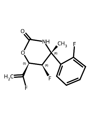 C=C(F)[C@H]1OC(=O)N[C@](C)(c2ccccc2F)[C@H]1F